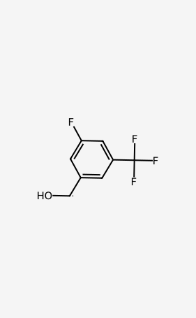 O[CH]c1cc(F)cc(C(F)(F)F)c1